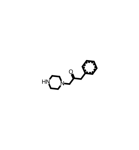 O=C(Cc1ccccc1)CN1CCNCC1